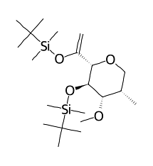 C=C(O[Si](C)(C)C(C)(C)C)[C@@H]1OC[C@H](C)[C@H](OC)[C@H]1O[Si](C)(C)C(C)(C)C